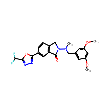 COc1cc(CN(C)N2Cc3ccc(-c4nnc(C(F)F)o4)cc3C2=O)cc(OC)c1